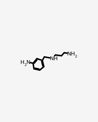 NCCCNCc1cccc(N)c1